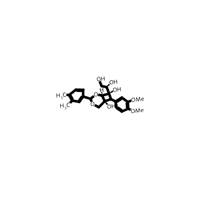 COc1ccc(C2[C@@](O)([C@H](O)CO)[C@@H]3OC(c4ccc(C)c(C)c4)OC[C@@]23O)cc1OC